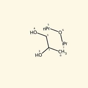 CC(O)CO.CCCOC(C)C